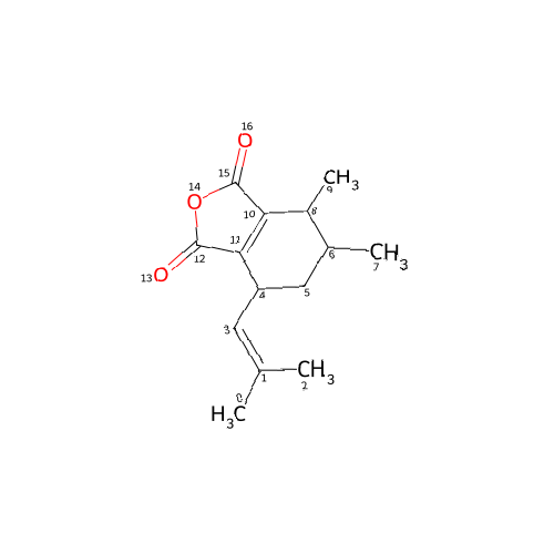 CC(C)=CC1CC(C)C(C)C2=C1C(=O)OC2=O